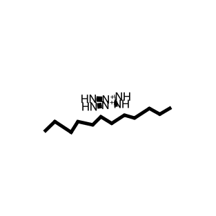 CCCCCCCCCCCC.N=[N+]=N.N=[N+]=N